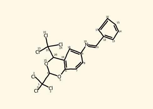 ClC(Cl)(Cl)C1Oc2ccc(N=Cc3ccccc3)cc2C(C(Cl)(Cl)Cl)O1